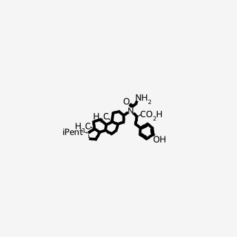 CCC[C@@H](C)[C@H]1CCC2C3CCC4CC(N(C(=O)CN)[C@@H](Cc5ccc(O)cc5)C(=O)O)CC[C@]4(C)C3CC[C@@]21C